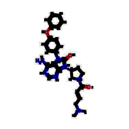 CN(C)C/C=C/C(=O)N1CC[C@@H](n2c(=O)n(-c3ccc(Oc4ccccc4)cc3)c3c(N)ncnc32)C1